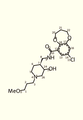 COCCCN1CC[C@@H](CNC(=O)c2cc(Cl)cc3c2OCCCO3)C(O)C1